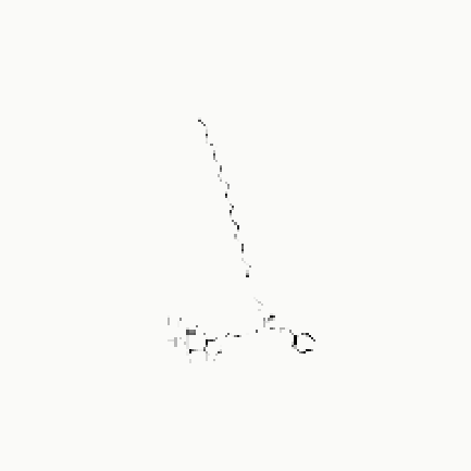 CCCCCCCCCCCCCCCCCCOCCO[P@](=O)(COCCn1cnc2c(=O)[nH]c(N)nc21)OCc1ccccc1